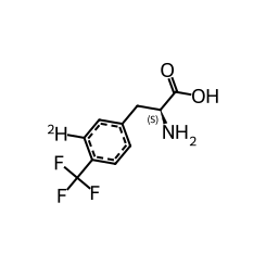 [2H]c1cc(C[C@H](N)C(=O)O)ccc1C(F)(F)F